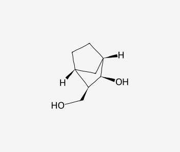 OC[C@H]1[C@@H]2CC[C@@H](C2)[C@H]1O